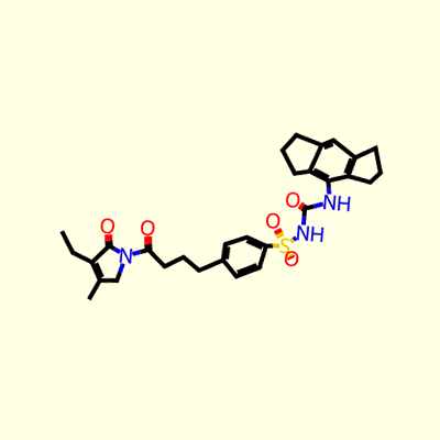 CCC1=C(C)CN(C(=O)CCCc2ccc(S(=O)(=O)NC(=O)Nc3c4c(cc5c3CCC5)CCC4)cc2)C1=O